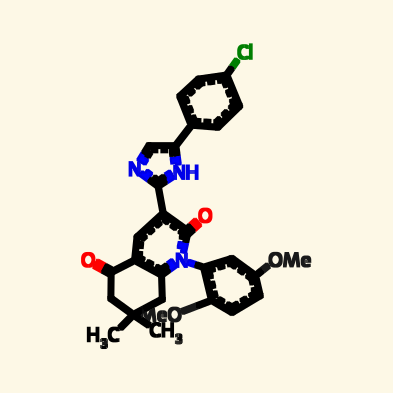 COc1ccc(OC)c(-n2c3c(cc(-c4ncc(-c5ccc(Cl)cc5)[nH]4)c2=O)C(=O)CC(C)(C)C3)c1